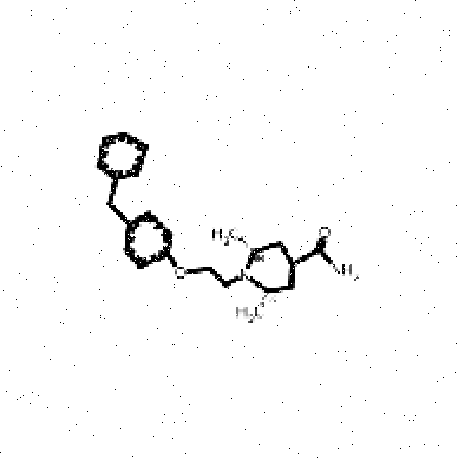 C[C@@H]1CC(C(N)=O)C[C@H](C)N1CCOc1ccc(Cc2ccccc2)cc1